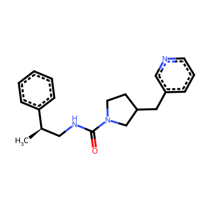 C[C@H](CNC(=O)N1CCC(Cc2cccnc2)C1)c1ccccc1